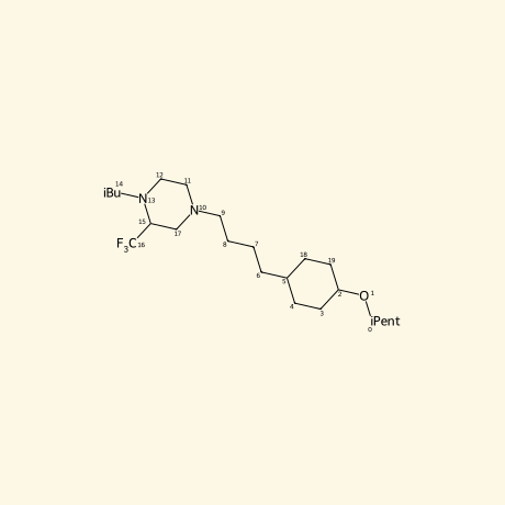 CCCC(C)OC1CCC(CCCCN2CCN(C(C)CC)C(C(F)(F)F)C2)CC1